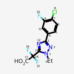 CCn1nc(-c2ccc(Cl)c(F)c2)nc1C(F)(F)C(=O)O